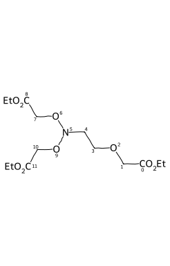 CCOC(=O)COCCN(OCC(=O)OCC)OCC(=O)OCC